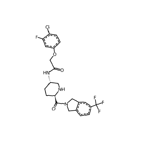 O=C(COc1ccc(Cl)c(F)c1)N[C@H]1CC[C@H](C(=O)N2Cc3ccc(C(F)(F)F)cc3C2)NC1